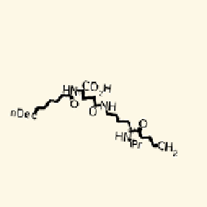 C=CCCC(=O)[C@H](CCCCNC(=O)CC[C@H](NC(=O)CCCCCCCCCCCCCCC)C(=O)O)NC(C)C